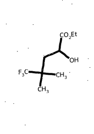 CCOC(=O)C(O)CC(C)(C)C(F)(F)F